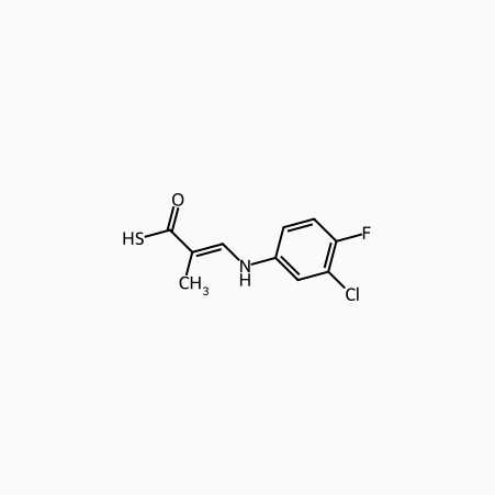 C/C(=C\Nc1ccc(F)c(Cl)c1)C(=O)S